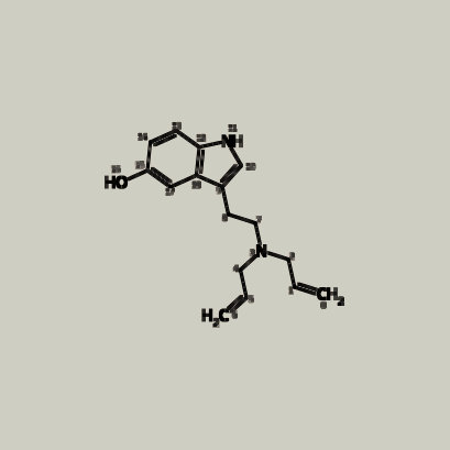 C=CCN(CC=C)CCc1c[nH]c2ccc(O)cc12